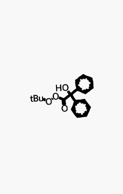 CC(C)(C)OOC(=O)C(O)(c1ccccc1)c1ccccc1